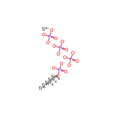 O=P([O-])([O-])[O-].O=P([O-])([O-])[O-].O=P([O-])([O-])[O-].O=P([O-])([O-])[O-].[SiH4].[SiH4].[SiH4].[Ti+4].[Ti+4].[Ti+4]